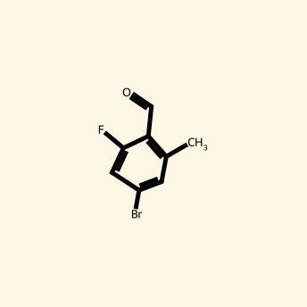 Cc1cc(Br)cc(F)c1C=O